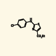 CCOC(=O)c1csc(Nc2ccc(Cl)cc2)n1